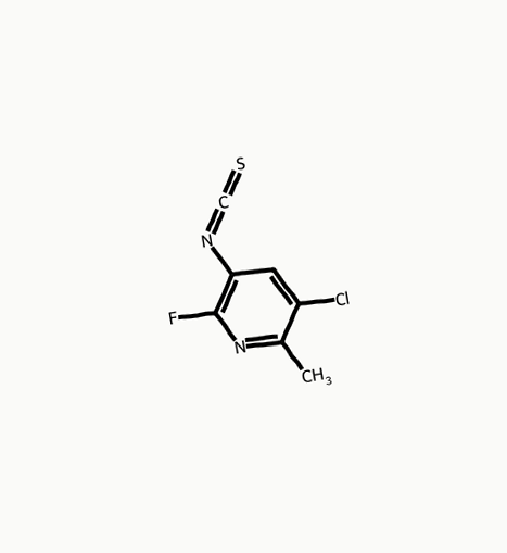 Cc1nc(F)c(N=C=S)cc1Cl